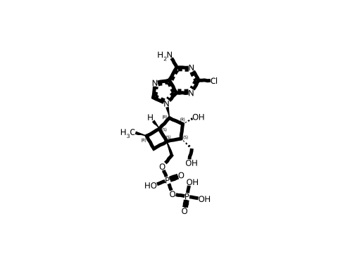 C[C@@H]1C[C@]2(COP(=O)(O)OP(=O)(O)O)[C@H]1[C@@H](n1cnc3c(N)nc(Cl)nc31)[C@H](O)[C@@H]2CO